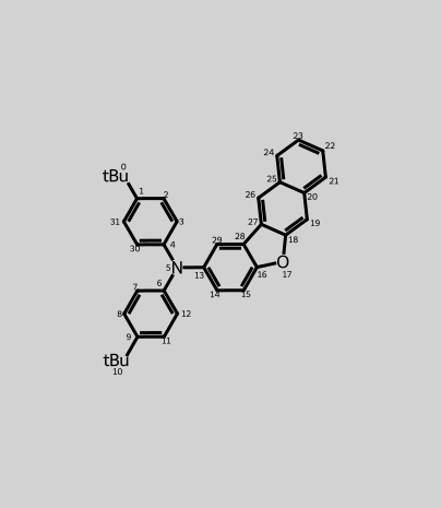 CC(C)(C)c1ccc(N(c2ccc(C(C)(C)C)cc2)c2ccc3oc4cc5ccccc5cc4c3c2)cc1